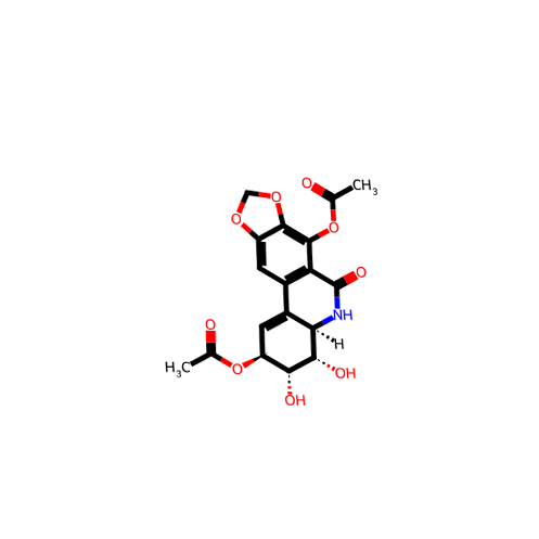 CC(=O)Oc1c2c(cc3c1C(=O)N[C@@H]1C3=C[C@H](OC(C)=O)[C@@H](O)[C@H]1O)OCO2